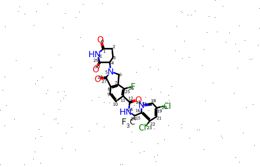 O=C1CCC(N2Cc3c(ccc(C(=O)N[C@H](c4ncc(Cl)cc4Cl)C(F)(F)F)c3F)C2=O)C(=O)N1